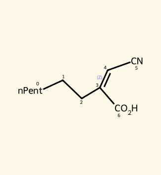 CCCCCCC/C(=C/C#N)C(=O)O